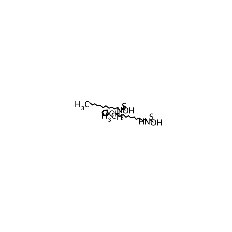 CCCCCCCCCCCCNC(O)=S.CCCCCCCCCCCCNC(O)=S.Cc1ccccc1